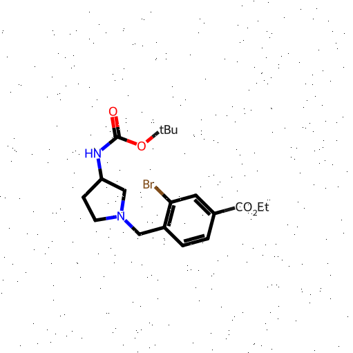 CCOC(=O)c1ccc(CN2CCC(NC(=O)OC(C)(C)C)C2)c(Br)c1